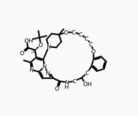 Cc1nc2cc3nn2c(c1[C@H](OC(C)(C)C)C(=O)O)N1CCC(C)(CC1)OCCCCOc1ccccc1CC(O)CNC3=O